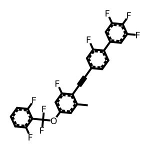 Cc1cc(OC(F)(F)c2c(F)cccc2F)cc(F)c1C#Cc1ccc(-c2cc(F)c(F)c(F)c2)c(F)c1